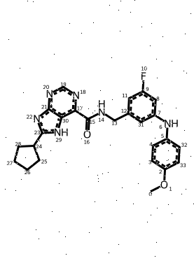 COc1ccc(Nc2cc(F)cc(CNC(=O)c3ncnc4nc(C5CCCC5)[nH]c34)c2)cc1